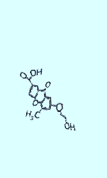 Cc1cc(OCCO)cc2c(=O)c3cc(C(=O)O)ccc3oc12